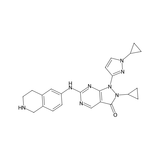 O=c1c2cnc(Nc3ccc4c(c3)CCNC4)nc2n(-c2ccn(C3CC3)n2)n1C1CC1